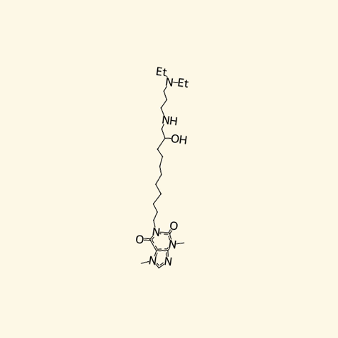 CCN(CC)CCCNCC(O)CCCCCCCCCn1c(=O)c2c(ncn2C)n(C)c1=O